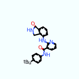 CC(C)(C)c1ccc(NC(=O)c2cccnc2Nc2cccc3c2CNC3=O)cc1